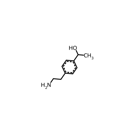 CC(O)c1ccc(CCN)cc1